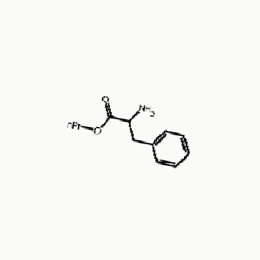 CCCOC(=O)C(N)Cc1ccccc1